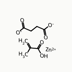 C=C(C)C(=O)O.O=C([O-])CCC(=O)[O-].[Zn+2]